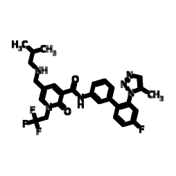 Cc1cnnn1-c1cc(F)ccc1-c1cccc(NC(=O)c2cc(CNCC(C)C)cn(CC(F)(F)F)c2=O)c1